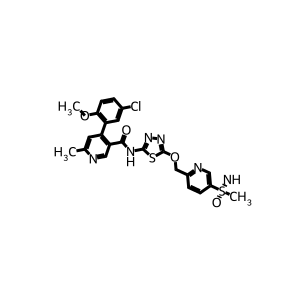 COc1ccc(Cl)cc1-c1cc(C)ncc1C(=O)Nc1nnc(OCc2ccc(S(C)(=N)=O)cn2)s1